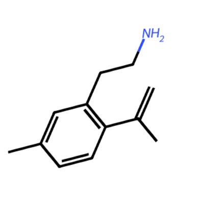 C=C(C)c1ccc(C)cc1CCN